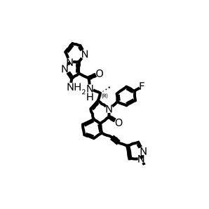 C[C@@H](NC(=O)c1c(N)nn2cccnc12)c1cc2cccc(C#Cc3cnn(C)c3)c2c(=O)n1-c1ccc(F)cc1